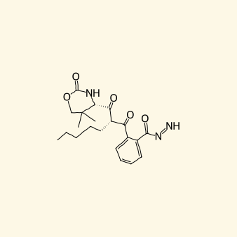 CCCCC[C@@H](C(=O)c1ccccc1C(=O)N=N)C(=O)[C@H]1NC(=O)OCC1(C)C